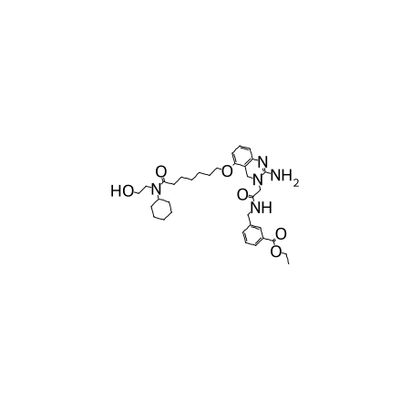 CCOC(=O)c1cccc(CNC(=O)CN2Cc3c(cccc3OCCCCCCC(=O)N(CCO)C3CCCCC3)N=C2N)c1